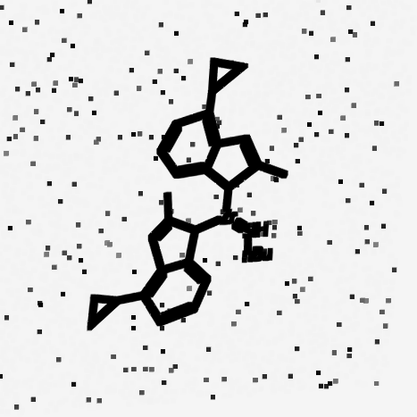 CCCC[SiH]=[Zr]([CH]1C(C)=Cc2c(C3CC3)cccc21)[CH]1C(C)=Cc2c(C3CC3)cccc21